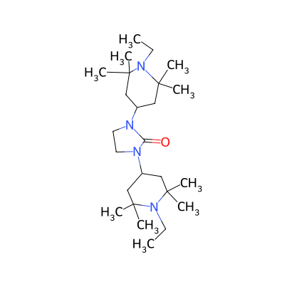 CCN1C(C)(C)CC(N2CCN(C3CC(C)(C)N(CC)C(C)(C)C3)C2=O)CC1(C)C